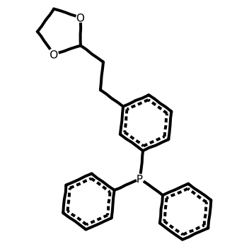 c1ccc(P(c2ccccc2)c2cccc(CCC3OCCO3)c2)cc1